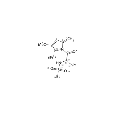 C=C1C=C(OC)[C@@H](CCC)N1C(=O)[C@H](CCC)NS(=O)(=O)CC